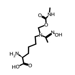 CNC(=O)OCN(CCCC[C@H](N)C(=O)O)C(C)=NO